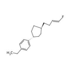 CCc1ccc([C@H]2CC[C@H](CCC=CF)CC2)cc1